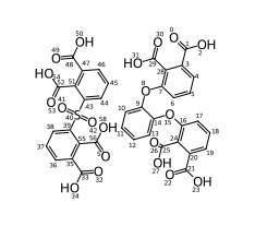 O=C(O)c1cccc(Oc2ccccc2Oc2cccc(C(=O)O)c2C(=O)O)c1C(=O)O.O=C(O)c1cccc(S(=O)(=O)c2cccc(C(=O)O)c2C(=O)O)c1C(=O)O